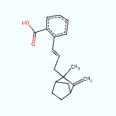 C=C1C2CCC(C2)C1(C)CC=Cc1ccccc1C(=O)O